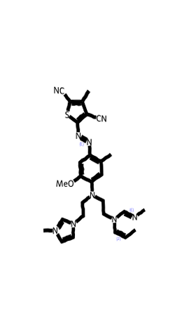 C/C=C\N(/C=N/C)CCN(CCn1cc[n+](C)c1)c1cc(C)c(/N=N/c2sc(C#N)c(C)c2C#N)cc1OC